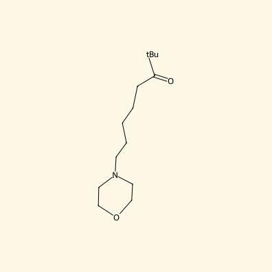 CC(C)(C)C(=O)CCCCCN1CCOCC1